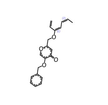 C=C/C(=C\C=C/C)OCc1cc(=O)c(OCc2ccccc2)co1